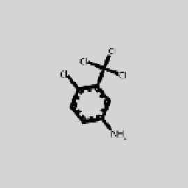 Nc1ccc(Cl)c(C(Cl)(Cl)Cl)c1